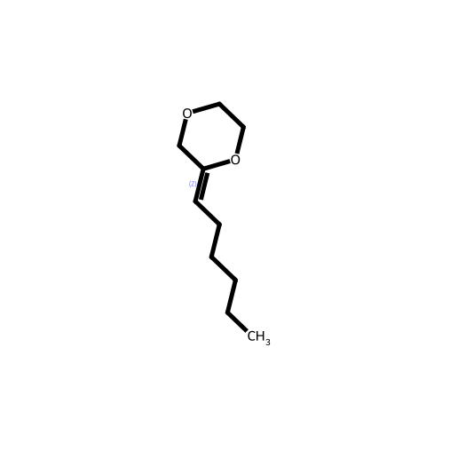 CCCCC/C=C1/COCCO1